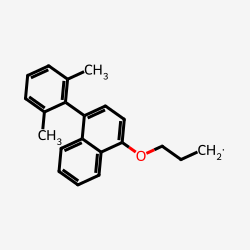 [CH2]CCOc1ccc(-c2c(C)cccc2C)c2ccccc12